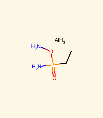 CCP(N)(=O)ON.[AlH3]